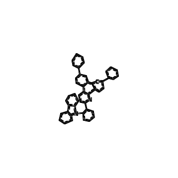 c1ccc(-c2ccc3c(c2)c2cc(-c4ccccc4)ccc2c2nc(-c4ccccc4-n4c5ccccc5c5ccccc54)ccc32)cc1